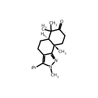 CC(C)c1c2c(nn1C)[C@@]1(C)CCC(=O)C(C)(C)[C@@H]1CC2